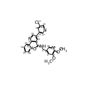 COc1cc(CNC(=O)c2cc(-c3cncc(Cl)c3)cnc2-c2ccccn2)cnc1OC